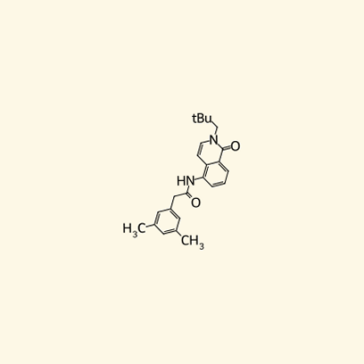 Cc1cc(C)cc(CC(=O)Nc2cccc3c(=O)n(CC(C)(C)C)ccc23)c1